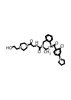 C[C@@H]1CN(C(=O)c2ccc(N3CCCC3)cc2Cl)c2ccccc2CN1C(=O)NCC(=O)N1CCN(CCO)CC1